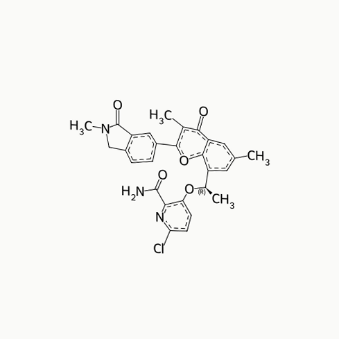 Cc1cc([C@@H](C)Oc2ccc(Cl)nc2C(N)=O)c2oc(-c3ccc4c(c3)C(=O)N(C)C4)c(C)c(=O)c2c1